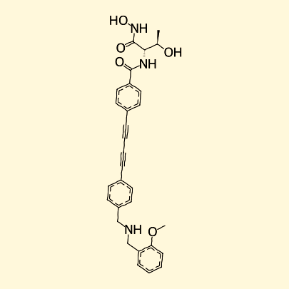 COc1ccccc1CNCc1ccc(C#CC#Cc2ccc(C(=O)N[C@H](C(=O)NO)[C@@H](C)O)cc2)cc1